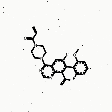 C=CC(=O)N1CCN(c2ncnc3c(C(=C)C)c(-c4c(F)cccc4OC)c(Cl)cc23)CC1